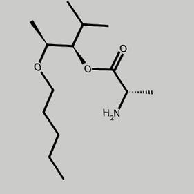 CCCCCO[C@@H](C)[C@H](OC(=O)[C@H](C)N)C(C)C